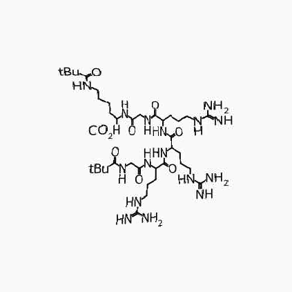 CC(C)(C)C(=O)NCCCCC(NC(=O)CNC(=O)C(CCCNC(=N)N)NC(=O)C(CCCNC(=N)N)NC(=O)C(CCCNC(=N)N)NC(=O)CNC(=O)C(C)(C)C)C(=O)O